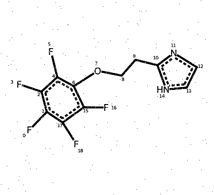 Fc1c(F)c(F)c(OCCc2ncc[nH]2)c(F)c1F